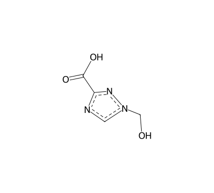 O=C(O)c1ncn(CO)n1